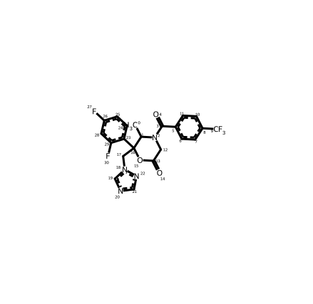 CC1N(C(=O)c2ccc(C(F)(F)F)cc2)CC(=O)OC1(Cn1cncn1)c1ccc(F)cc1F